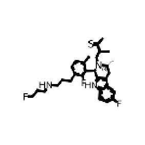 CC(=S)C(C)CN1C(c2c(C)ccc(CCCNCCCF)c2F)c2[nH]c3ccc(F)cc3c2C[C@H]1C